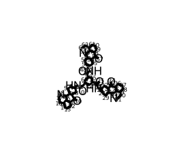 O=C(Nc1ccc2c(c1)C(=O)c1cccc3ccnc-2c13)c1cc(C(=O)Nc2ccc3c(c2)C(=O)c2cccc4ccnc-3c24)cc(C(=O)Nc2ccc3c(c2)C(=O)c2cccc4ccnc-3c24)c1